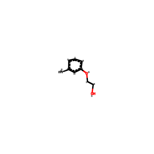 C[CH]Cc1cccc(OCCO)c1